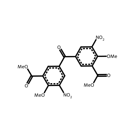 COC(=O)c1cc(C(=O)c2cc(C(=O)OC)c(OC)c([N+](=O)[O-])c2)cc([N+](=O)[O-])c1OC